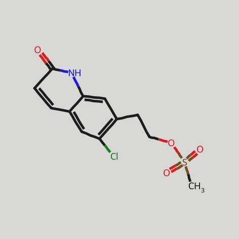 CS(=O)(=O)OCCc1cc2[nH]c(=O)ccc2cc1Cl